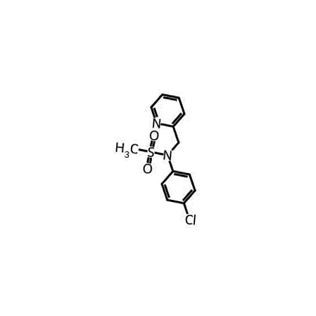 CS(=O)(=O)N(Cc1ccccn1)c1ccc(Cl)cc1